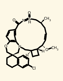 CO[C@H]1/C=C\C[C@H](C)C/[SH](=O)=N\C(=O)c2ccc3c(c2)N(C[C@@H]2CC[C@H]21)C[C@@]1(CCCc2cc(Cl)ccc21)CO3